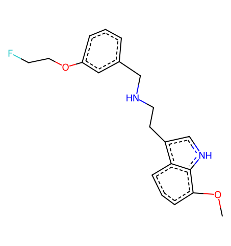 COc1cccc2c(CCNCc3cccc(OCCF)c3)c[nH]c12